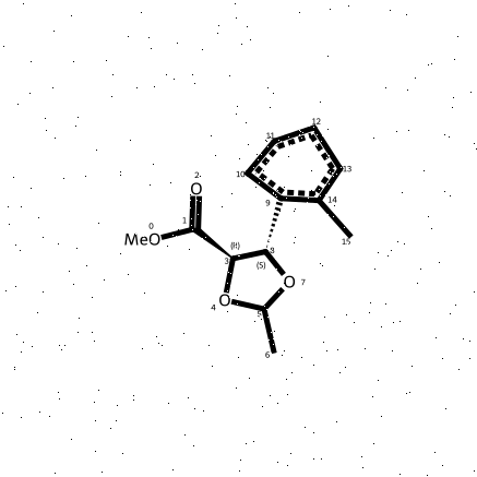 COC(=O)[C@@H]1OC(C)O[C@H]1c1ccccc1C